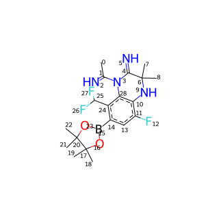 CC(=N)N1C(=N)C(C)(C)Nc2c(F)cc(B3OC(C)(C)C(C)(C)O3)c(C(F)F)c21